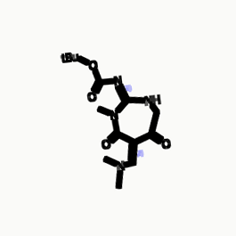 CN(C)/C=C1/C(=O)CN/C(=N/C(=O)OC(C)(C)C)N(C)C1=O